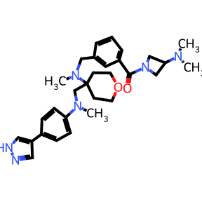 CN(CC1(N(C)Cc2cccc(C(=O)N3CC(N(C)C)C3)c2)CCOCC1)c1ccc(-c2cn[nH]c2)cc1